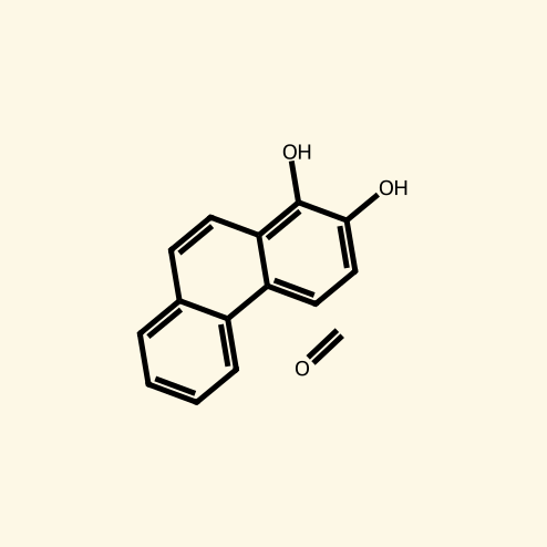 C=O.Oc1ccc2c(ccc3ccccc32)c1O